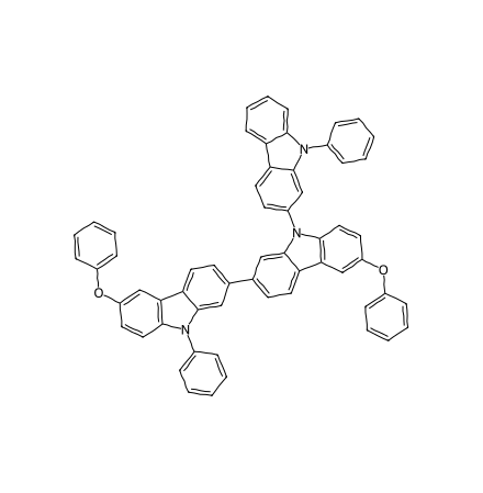 c1ccc(Oc2ccc3c(c2)c2ccc(-c4ccc5c6cc(Oc7ccccc7)ccc6n(-c6ccc7c8ccccc8n(-c8ccccc8)c7c6)c5c4)cc2n3-c2ccccc2)cc1